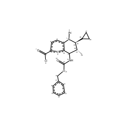 CC(=O)N1c2ccc(C(=O)Cl)cc2C(NC(=O)OCc2ccccc2)[C@@H](C)[C@@H]1C1CC1